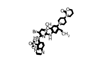 C=Cc1cc(Nc2ncc(Br)c(Nc3ccc4nccnc4c3P(C)(C)=O)n2)c(OC)cc1N1CCC(N2CCCOC2=O)CC1